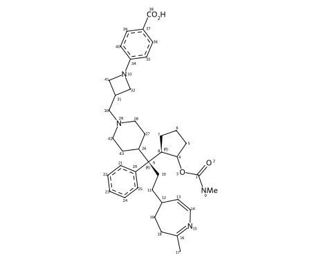 CNC(=O)OC1CCC[C@@H]1[C@](CCC1C=CN=C(C)CC1)(c1ccccc1)C1CCN(CC2CN(c3ccc(C(=O)O)cc3)C2)CC1